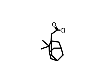 CC1(C)C2CC3CC(C2)CC1(CC(=O)Cl)C3